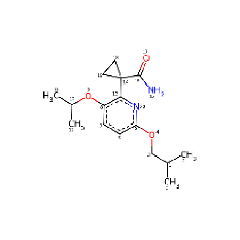 CC(C)COc1ccc(OC(C)C)c(C2(C(N)=O)CC2)n1